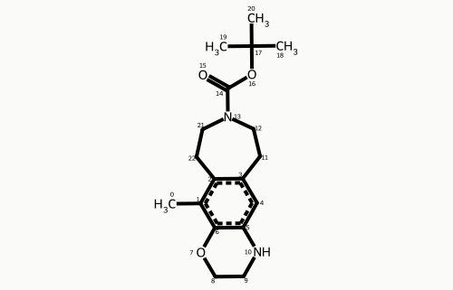 Cc1c2c(cc3c1OCCN3)CCN(C(=O)OC(C)(C)C)CC2